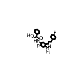 O=C(Nc1cc2c(C=Cc3ccc(F)cc3)n[nH]c2cc1F)C(CO)c1ccccc1